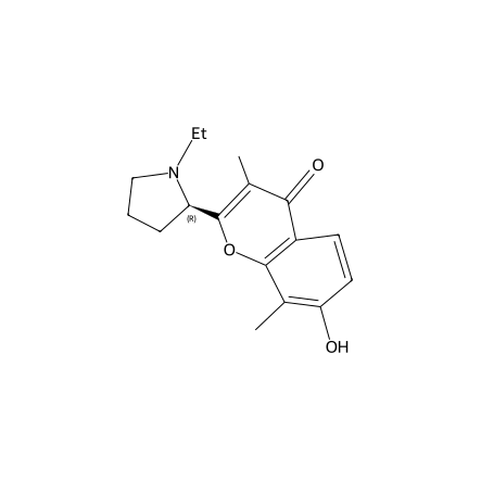 CCN1CCC[C@@H]1c1oc2c(C)c(O)ccc2c(=O)c1C